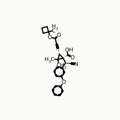 CC1(OC(=O)C#C[C@H]2C(C)(C)[C@]2(C(=O)O)[C@@H](C#N)c2cccc(Oc3ccccc3)c2)CCC1